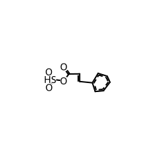 O=C(/C=C/c1ccccc1)O[SH](=O)=O